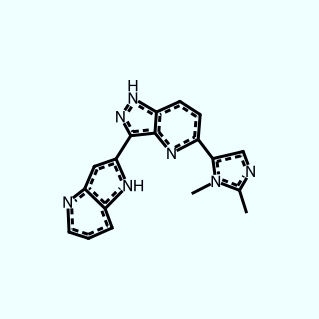 Cc1ncc(-c2ccc3[nH]nc(-c4cc5ncccc5[nH]4)c3n2)n1C